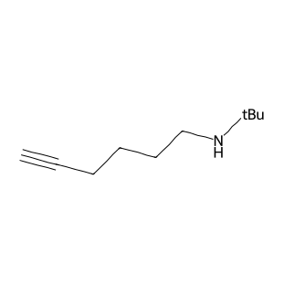 C#CCCCCNC(C)(C)C